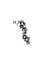 Nc1ncnc2c1ccn2C1CCC(COc2ccc3c(c2)N=CC(Br)C3)O1